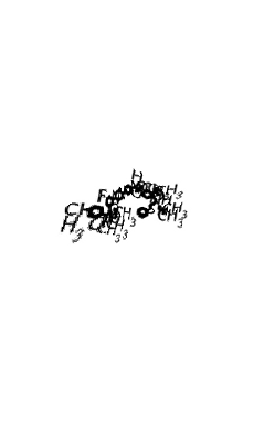 COP(=O)(Nc1ccc(N2CCN(c3cc(F)cc(-c4c(S(C)(=O)=O)c(C)n(C(C)C)c4-c4ccc(Cl)cc4)c3)CC2)cc1)c1ccc(N[C@H](CCN(C)C)CSc2ccccc2)c(S(C)(=O)=O)c1